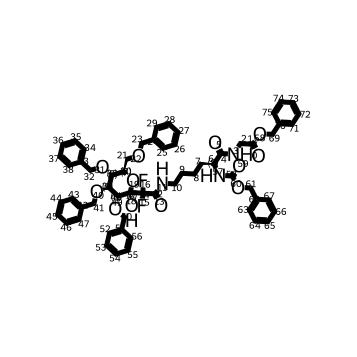 O=C(CNC(=O)[C@H](CCCCNC(=O)C(F)(F)[C@]1(O)O[C@H](COCc2ccccc2)[C@H](OCc2ccccc2)[C@H](OCc2ccccc2)[C@H]1OCc1ccccc1)NC(=O)OCc1ccccc1)OCc1ccccc1